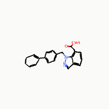 O=C(O)c1cccc2cnn(Cc3ccc(-c4ccccc4)cc3)c12